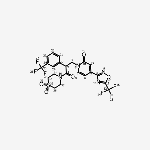 O=C(C(Cn1ccc(-c2noc(C(F)(F)F)n2)cc1=O)c1cccc(C(F)(F)F)c1)N1CCS(=O)(=O)CC1